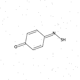 O=C1C=CC(=NS)C=C1